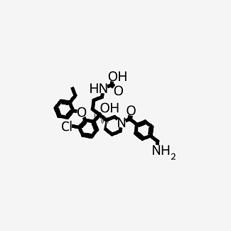 CCc1ccccc1Oc1c(Cl)cccc1[C@](O)(CCCNC(=O)O)[C@@H]1CCCN(C(=O)c2ccc(CN)cc2)C1